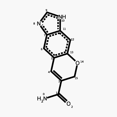 NC(=O)C1=Cc2cc3nc[nH]c3cc2OC1